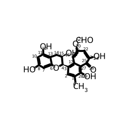 Cc1cc([C@H]2Oc3cc(O)cc(O)c3C[C@H]2O)c2cc(OC=O)cc(O)c(=O)c2c1O